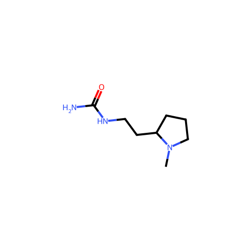 CN1CCCC1CCNC(N)=O